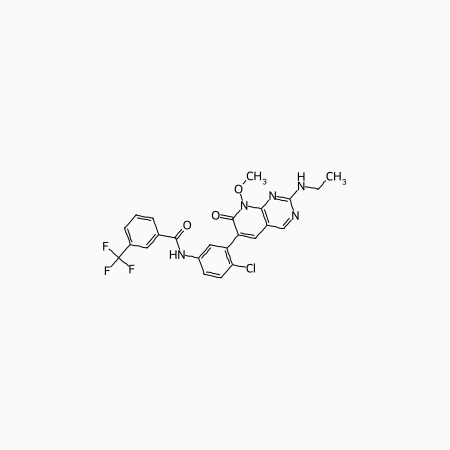 CCNc1ncc2cc(-c3cc(NC(=O)c4cccc(C(F)(F)F)c4)ccc3Cl)c(=O)n(OC)c2n1